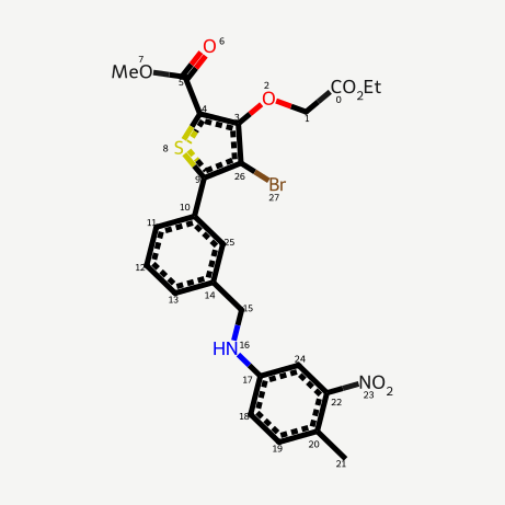 CCOC(=O)COc1c(C(=O)OC)sc(-c2cccc(CNc3ccc(C)c([N+](=O)[O-])c3)c2)c1Br